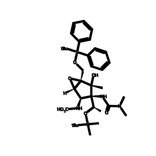 C[C@H](O[Si](C)(C)C(C)(C)C)[C@]1(NC(=O)N(C)C)[C@@H](NC(=O)O)[C@H]2O[C@@]2(CO[Si](c2ccccc2)(c2ccccc2)C(C)(C)C)[C@]1(C)O